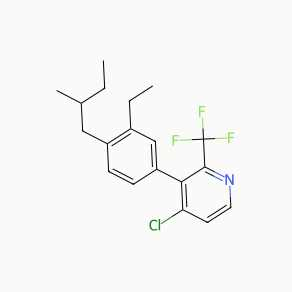 CCc1cc(-c2c(Cl)ccnc2C(F)(F)F)ccc1CC(C)CC